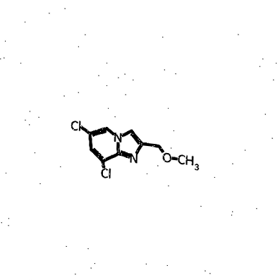 COCc1cn2cc(Cl)cc(Cl)c2n1